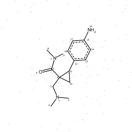 CN(C)CC1(C(=O)N(C)C)CC1c1ccc(N)cc1